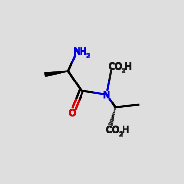 C[C@H](C(=O)O)N(C(=O)O)C(=O)[C@@H](C)N